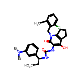 CCN(CC)c1cccc([C@H](CC(=O)O)NC(=O)Nc2c(O)c3c(n(Cc4c(C)cccc4Cl)c2=O)CCC3)c1